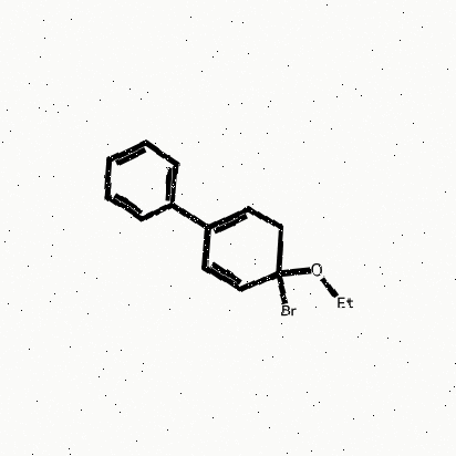 CCOC1(Br)C=CC(c2ccccc2)=CC1